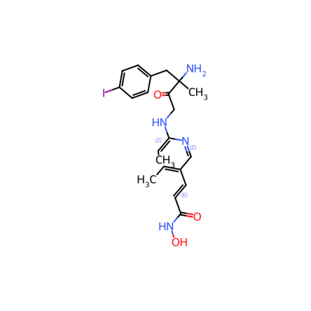 CC=C(/C=N\C(=C/C)NCC(=O)C(C)(N)Cc1ccc(I)cc1)/C=C/C(=O)NO